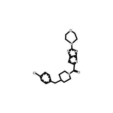 O=C(c1cc2sc(N3CCOCC3)nc2s1)N1CCC(Cc2ccc(Cl)cc2)CC1